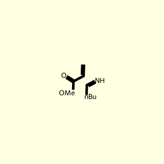 C=CC(=O)OC.CCCCC=N